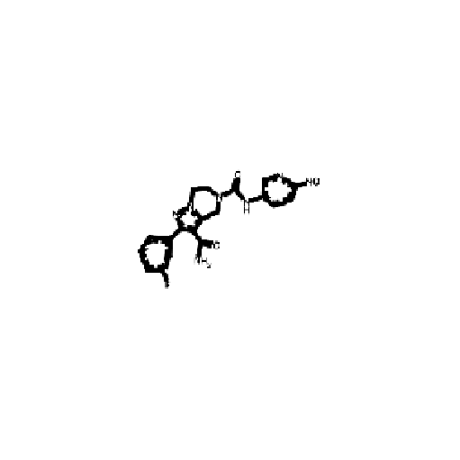 NC(=O)c1c(-c2cccc(F)c2)nn2c1CN(C(=O)Nc1ccc(N=O)nc1)CC2